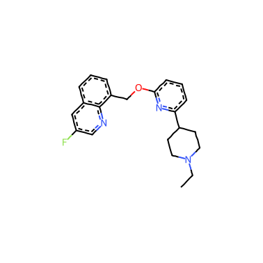 CCN1CCC(c2cccc(OCc3cccc4cc(F)cnc34)n2)CC1